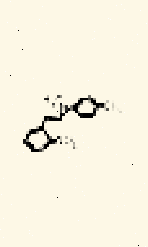 Cc1ccc(N(C)CCc2ccccc2[N+](=O)[O-])cc1